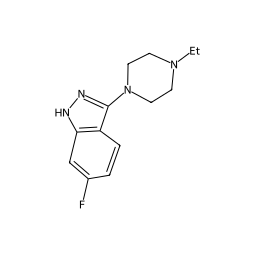 [CH2]CN1CCN(c2n[nH]c3cc(F)ccc23)CC1